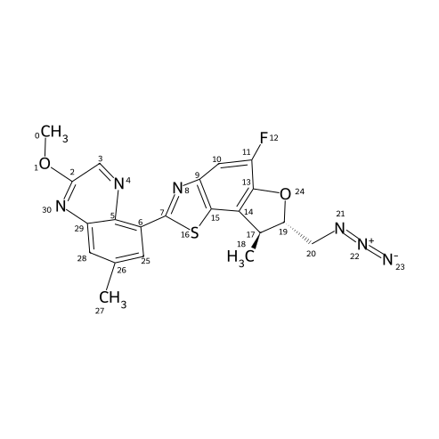 COc1cnc2c(-c3nc4cc(F)c5c(c4s3)[C@H](C)[C@@H](CN=[N+]=[N-])O5)cc(C)cc2n1